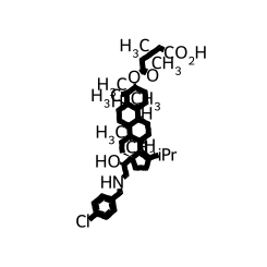 CC(C)C1=C2[C@H]3CC[C@@H]4[C@@]5(C)CC[C@H](OC(=O)CC(C)(C)CC(=O)O)C(C)(C)[C@@H]5CC[C@@]4(C)[C@]3(C)CC[C@@]2([C@H](O)CNCc2ccc(Cl)cc2)CC1